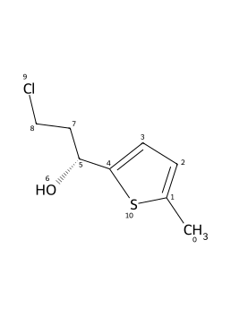 Cc1ccc([C@H](O)CCCl)s1